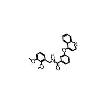 COc1cccc(CNC(=O)c2cccc(Oc3ccnc4ccccc34)c2)c1OC